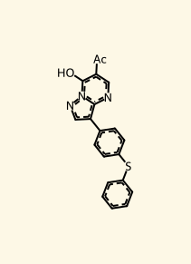 CC(=O)c1cnc2c(-c3ccc(Sc4ccccc4)cc3)cnn2c1O